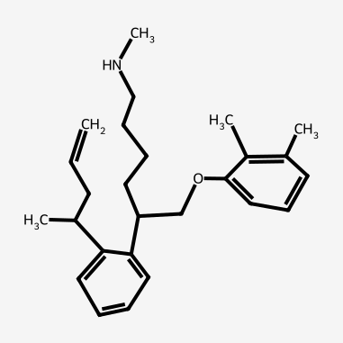 C=CCC(C)c1ccccc1C(CCCCNC)COc1cccc(C)c1C